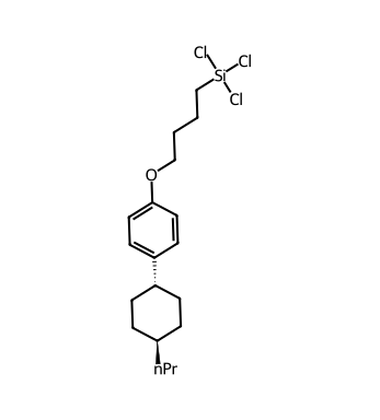 CCC[C@H]1CC[C@H](c2ccc(OCCCC[Si](Cl)(Cl)Cl)cc2)CC1